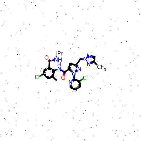 Cc1cc(Cl)cc(C(=O)NC(C)C)c1NC(=O)c1cc(Cn2ncc(C(F)(F)F)n2)nn1-c1ncccc1Cl